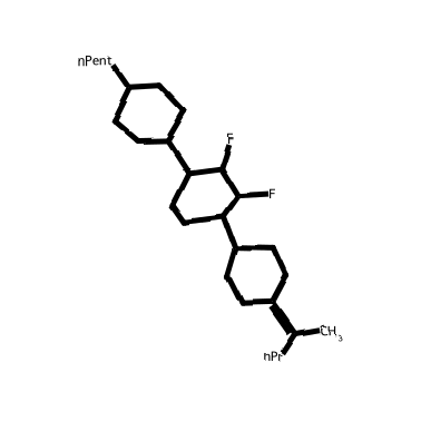 CCCCCC1CCC(C2CCC(C3CCC(=C(C)CCC)CC3)C(F)C2F)CC1